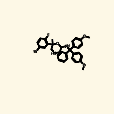 COc1ccc(C(NC2CNCC(C)(c3cc(Br)ccc3F)O2)(c2ccccc2)c2ccc(OC)cc2)cc1